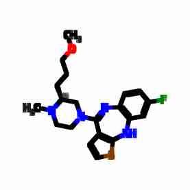 COCCC[C@H]1CN(C2=Nc3ccc(F)cc3Nc3sccc32)CCN1C